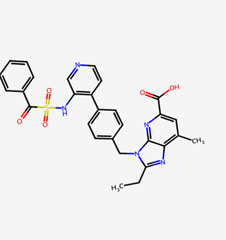 CCc1nc2c(C)cc(C(=O)O)nc2n1Cc1ccc(-c2ccncc2NS(=O)(=O)C(=O)c2ccccc2)cc1